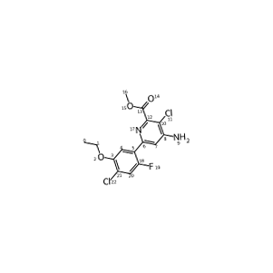 CCOc1cc(-c2cc(N)c(Cl)c(C(=O)OC)n2)c(F)cc1Cl